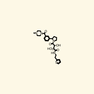 CN1CCN(C(=O)c2cccc(C3CCCN3C(=O)[C@H](O)[C@@H](O)C(=O)NCCc3cccs3)c2)CC1